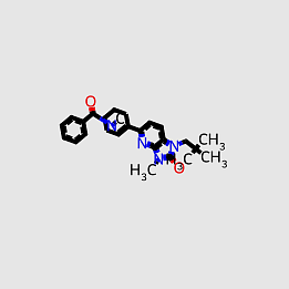 Cn1c(=O)n(CC(C)(C)C)c2ccc(C3=CC4CCC3CN4C(=O)c3ccccc3)nc21